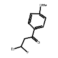 CCC(F)CC(=O)c1ccc(OC)cc1